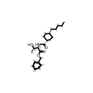 CCCCC[C@H]1CC[C@H](C(=O)N[C@@H](C(=O)OCc2ccccc2)[C@@H](C)O)CC1